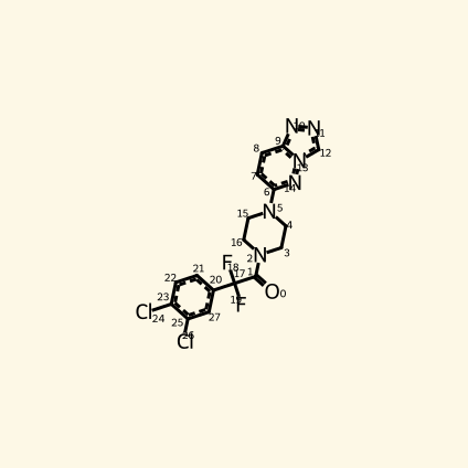 O=C(N1CCN(c2ccc3nncn3n2)CC1)C(F)(F)c1ccc(Cl)c(Cl)c1